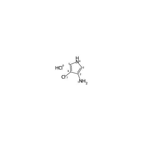 Cl.Nc1c[nH]cc1Cl